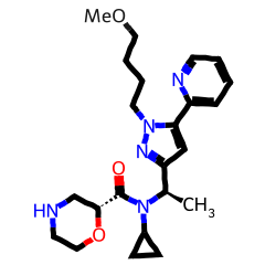 COCCCCn1nc([C@@H](C)N(C(=O)[C@H]2CNCCO2)C2CC2)cc1-c1ccccn1